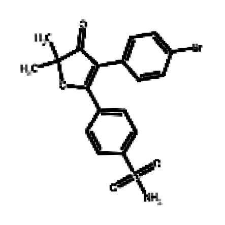 CC1(C)OC(c2ccc(S(N)(=O)=O)cc2)=C(c2ccc(Br)cc2)C1=O